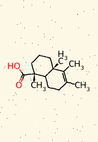 CC1=C(C)[C@@]2(C)CCC[C@@](C)(C(=O)O)C2CC1